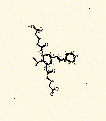 CC(C)c1c(OC(=O)CCCC(=O)O)cc(/C=C/c2ccccc2)cc1OC(=O)CCCC(=O)O